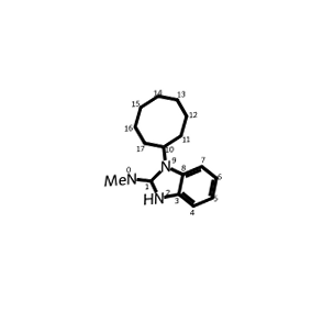 CNC1Nc2ccccc2N1C1CCCCCCC1